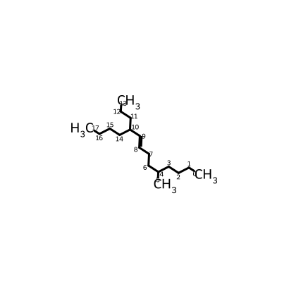 CCCCC(C)CC/C=C/C(CCC)CCCC